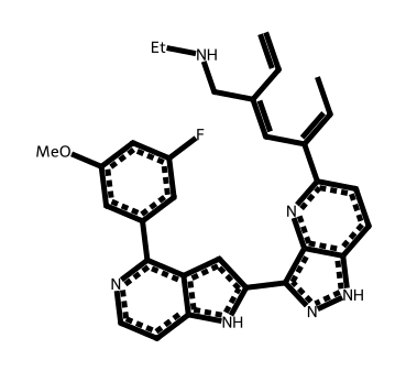 C=C/C(=C\C(=C/C)c1ccc2[nH]nc(-c3cc4c(-c5cc(F)cc(OC)c5)nccc4[nH]3)c2n1)CNCC